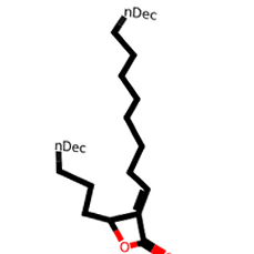 CCCCCCCCCCCCCCCCC/C=C1/C(=O)OC1CCCCCCCCCCCCC